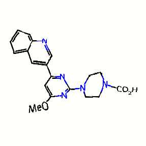 COc1cc(-c2cnc3ccccc3c2)nc(N2CCN(C(=O)O)CC2)n1